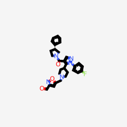 O=Cc1cc(CN2CCC(c3c(C(=O)N4CC[C@H](c5ccccc5)C4)cnn3-c3ccc(F)cc3)CC2)on1